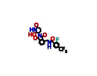 O=C1CCC(N2C(=O)c3cccc(CNC(=O)c4ccc(C(F)(F)F)cc4F)c3C2=O)C(O)N1